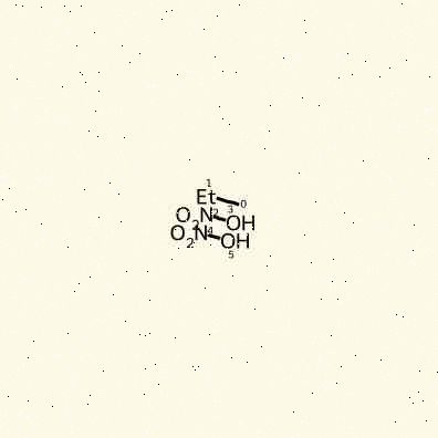 CCC.O=[N+]([O-])O.O=[N+]([O-])O